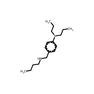 CCCCNCc1ccc(N(CCC)CCC)cc1